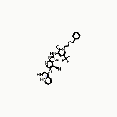 Cn1c(Nc2cc(C(F)(F)F)cn(CCOCc3ccccc3)c2=O)nc2ncc(O/C(C=N)=C3\C=CC=CN3)c(C#N)c21